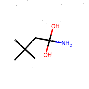 CC(C)(C)CC(N)(O)O